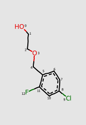 OCCOCc1ccc(Cl)cc1F